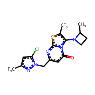 CC1CCN1c1c(C(F)(F)F)sc2nc(Cn3nc(C(F)(F)F)cc3Cl)cc(=O)n12